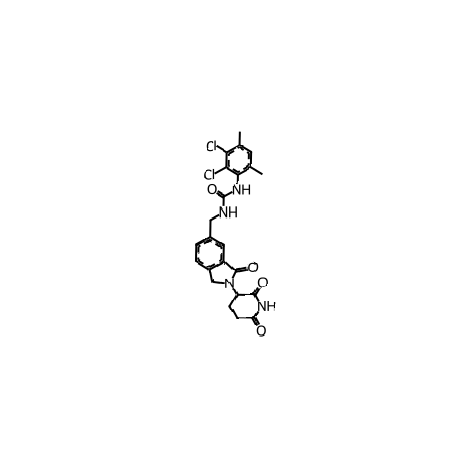 Cc1cc(C)c(NC(=O)NCc2ccc3c(c2)C(=O)N(C2CCC(=O)NC2=O)C3)c(Cl)c1Cl